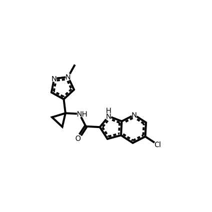 Cn1cc(C2(NC(=O)c3cc4cc(Cl)cnc4[nH]3)CC2)cn1